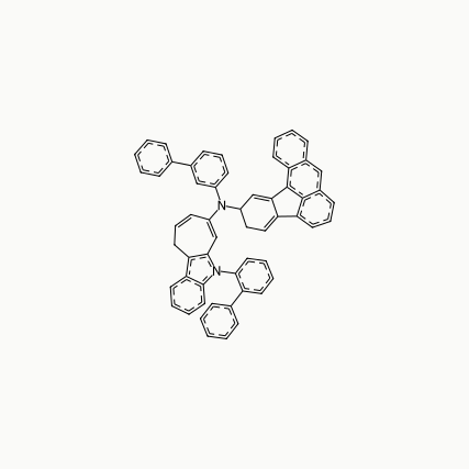 C1=CC(N(c2cccc(-c3ccccc3)c2)C2C=C3C(=CC2)c2cccc4cc5ccccc5c3c24)=Cc2c(c3ccccc3n2-c2ccccc2-c2ccccc2)C1